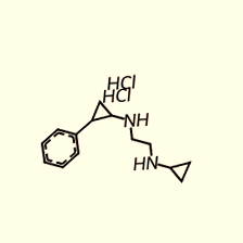 Cl.Cl.c1ccc(C2CC2NCCNC2CC2)cc1